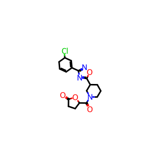 O=C1CCC(C(=O)N2CCCC(c3nc(C4=CC(Cl)CC=C4)no3)C2)O1